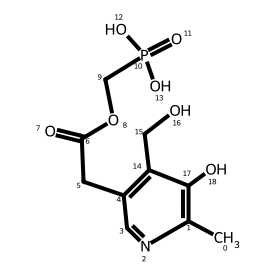 Cc1ncc(CC(=O)OCP(=O)(O)O)c(CO)c1O